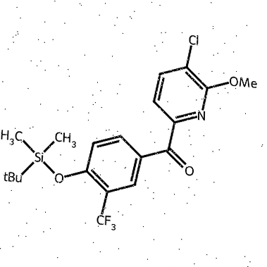 COc1nc(C(=O)c2ccc(O[Si](C)(C)C(C)(C)C)c(C(F)(F)F)c2)ccc1Cl